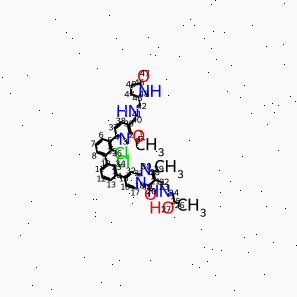 COc1nc(-c2cccc(-c3cccc(-c4ccn5c(=O)c(CNCC(C)O)c(C)nc5c4)c3Cl)c2Cl)ccc1CNC[C@H]1CCC(=O)N1